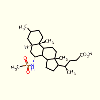 CC1CC[C@]2(C)C3CC[C@@]4(C)C(CCC4[C@H](C)CCC(=O)O)C3[C@H](NS(C)(=O)=O)C[C@H]2C1